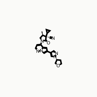 C[C@@H]1CN(c2ccnn3cc(-c4cnn([C@@H]5CCOC5)c4)cc23)C(=O)[C@]1(C#N)C1CC1